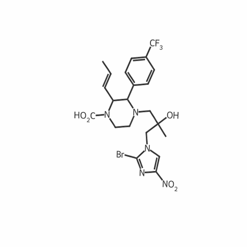 CC=CC1C(c2ccc(C(F)(F)F)cc2)N(CC(C)(O)Cn2cc([N+](=O)[O-])nc2Br)CCN1C(=O)O